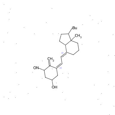 C=C1/C(=C\C=C2/CCCC3(C)C2CCC3C(C)CC)CC(O)CC1N=O